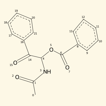 CC(=O)NC(OC(=O)c1ccccc1)C(=O)c1ccccc1